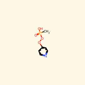 [CH2]P(=O)(O)OOc1ccncc1